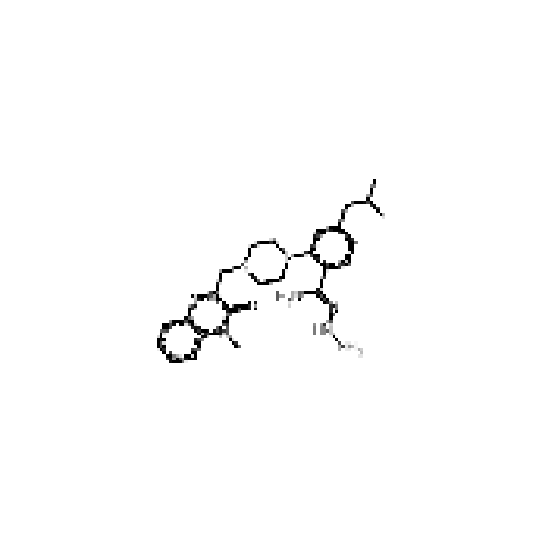 CC(C)Cc1ccc(/C(N)=N/NN)c(N2CCN(Cc3nc4ccccc4n(C)c3=O)CC2)c1